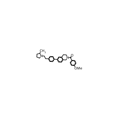 COc1ccc(C(=O)N2CCc3cc(-c4ccc(CCN5CCCC5C)cc4)ccc3C2)cc1